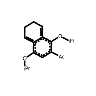 CC(=O)c1cc(OC(C)C)c2c(c1OC(C)C)=CCCC=2